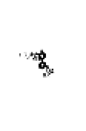 Cc1ccc(-c2cccc(CO[Si](C)(C)C(C)(C)C)c2)cc1CN(C(=O)O)C(C)(C)C